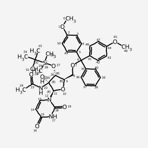 COc1ccc(C(OC[C@H]2O[C@@H](n3ccc(=O)[nH]c3=O)[C@@](O)(NC(C)=O)[C@@H]2O[Si](C)(C)C(C)(C)C)(c2ccccc2)c2ccc(OC)cc2)cc1